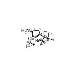 Nc1ccc(C(F)(C(F)(F)F)C(F)(F)Br)cc1OC(F)F